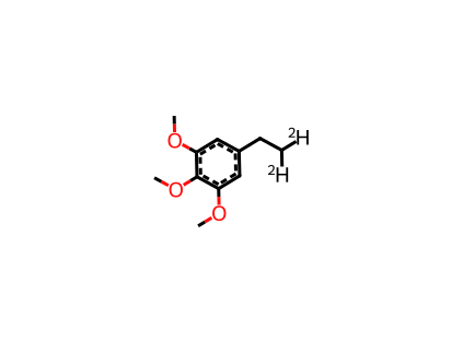 [2H]C([2H])Cc1cc(OC)c(OC)c(OC)c1